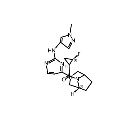 Cn1cc(Nc2nccc(N3CC4CC[C@H](C3)N4C(=O)[C@H]3C[C@H]3F)n2)cn1